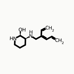 C=C/C=C(\C=C)CN[C@H]1CCCN[C@H]1O